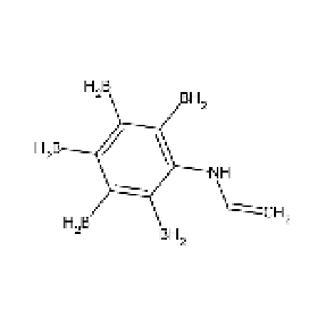 Bc1c(B)c(B)c(NC=C)c(B)c1B